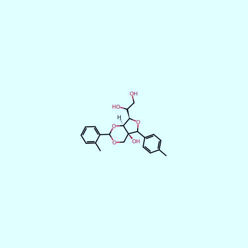 Cc1ccc(C2O[C@H](C(O)CO)[C@@H]3OC(c4ccccc4C)OC[C@@]23O)cc1